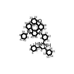 C1=C(c2ccccc2)NC(c2cccc(-n3c4ccc5oc6ccccc6c5c4c4c5c6ccccc6n(-c6ccccc6)c5ccc43)c2)NC1c1ccccc1